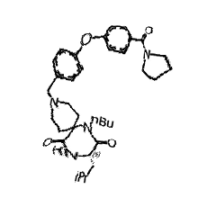 CCCCN1C(=O)[C@H](CC(C)C)NC(=O)C12CCN(Cc1ccc(Oc3ccc(C(=O)N4CCCC4)cc3)cc1)CC2